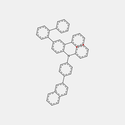 c1ccc(-c2ccccc2-c2ccc(N(c3ccccc3)c3ccc(-c4ccc5ccccc5c4)cc3)c(-c3ccccc3)c2)cc1